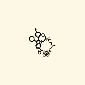 CN1CCN(C)C2COc3cc(F)ccc3-c3c(C4CCCCC4)c4ccc(cc4n3C2)C(=O)NS(=O)(=O)N(C)CC1